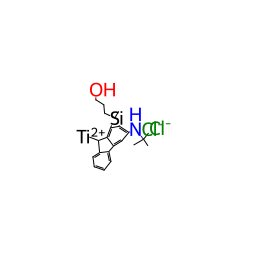 CC(C)(C)Nc1cc2c(c3c1[Si]3(C)CCCO)[CH]([Ti+2])c1ccccc1-2.[Cl-].[Cl-]